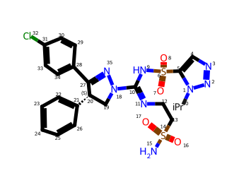 CC(C)n1nncc1S(=O)(=O)NC(=NCCS(N)(=O)=O)N1C[C@H](c2ccccc2)C(c2ccc(Cl)cc2)=N1